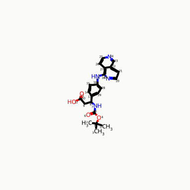 CC(C)(C)OC(=O)NC(CC(=O)O)c1ccc(Nc2nccc3cnccc23)cc1